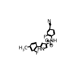 Cc1ccc(-c2cc(S(=O)(=O)Nc3ccc(C#N)cc3F)c[nH]2)c(F)c1